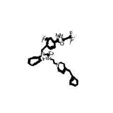 O=C(NCCN1CCC(Cc2ccccc2)CC1)N(Cc1ccc(-c2nnc(C(F)F)o2)cc1F)c1ccccc1